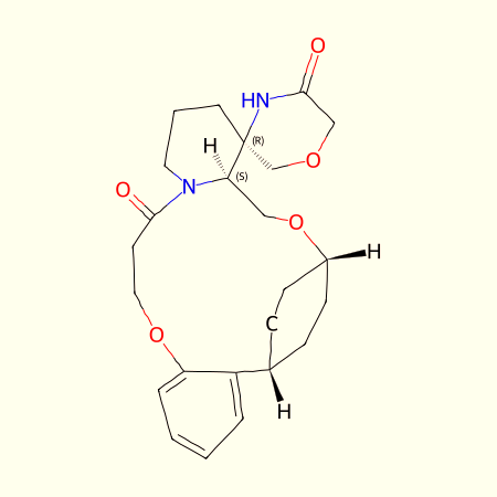 O=C1COC[C@]2(CCCN3C(=O)CCOc4ccccc4[C@H]4CC[C@H](CC4)OC[C@@H]32)N1